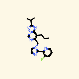 CCCc1c(Cn2ccnc2-c2ncccc2F)ncn2nc(C(C)C)nc12